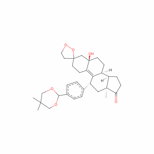 CC1(C)COC(c2ccc([C@H]3C[C@]4(C)C(=O)CC[C@@H]4[C@@H]4CC[C@@]5(O)CC6(CCOO6)CCC5=C43)cc2)OC1